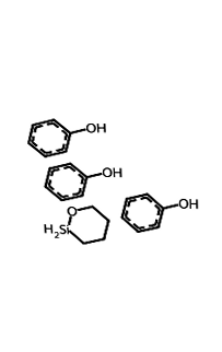 C1CC[SiH2]OC1.Oc1ccccc1.Oc1ccccc1.Oc1ccccc1